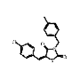 Cc1ccc(CN2C(=O)SC(=Cc3ccc(Cl)cc3)C2=O)cc1